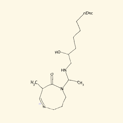 CCCCCCCCCCCCCCC(O)CNC(C)N1CCC/N=C\C(C)C1=O